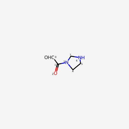 O=CC(=O)N1CCNC1